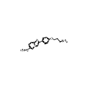 CCCCSc1ccc2nc(-c3ccc(OCCCN)cc3)cn2c1